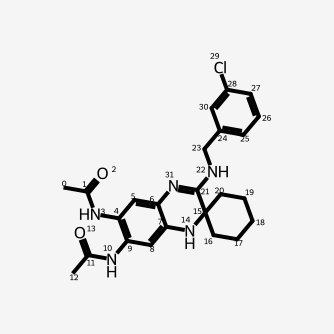 CC(=O)Nc1cc2c(cc1NC(C)=O)NC1(CCCCC1)C(NCc1cccc(Cl)c1)=N2